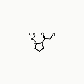 O=CN[C@@H]1CCCN1C(=O)CCl